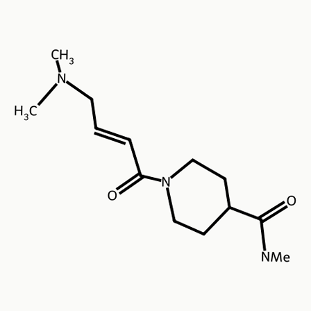 CNC(=O)C1CCN(C(=O)/C=C/CN(C)C)CC1